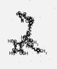 COC(=O)C[C@H](NC(=O)[C@H](CSCCNC(=O)CCCc1ccc(C)cc1)NC(=O)CN1CCN(CC(=O)O)CCN(CC(=O)O)CCN(CC(=O)O)CC1)C(=O)N1CCN(CCCOc2ccc3nccc(C(=O)NCC(=O)N4CC(F)(F)C[C@@H]4C#N)c3c2)CC1